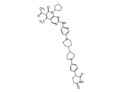 CC(=O)c1c(C)c2cnc(Nc3ccc(N4CCC(C5CCN(c6ccc(C7CCC(=O)NC7=O)cc6)CC5)CC4)cn3)nc2n(C2CCCC2)c1=O